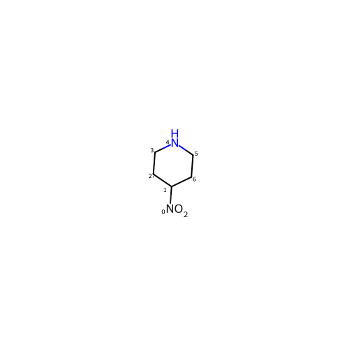 O=[N+]([O-])C1[CH]CNCC1